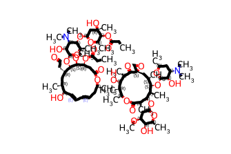 CCC(=O)O[C@@H]1CC(=O)O[C@H](C)C/C=C/C=C/[C@H](O)[C@H](C)C[C@H](CC=O)[C@H](O[C@@H]2O[C@H](C)[C@@H](O[C@H]3C[C@@](C)(O)[C@@H](OC(=O)CC)[C@H](C)O3)[C@H](N(C)C)[C@H]2O)[C@H]1OC.CO[C@H]1C[C@H](O[C@H]2[C@H](C)[C@@H](O[C@@H]3O[C@H](C)C[C@H](N(C)C)[C@H]3O)[C@@H](C)C[C@]3(CO3)C(=O)[C@H](C)[C@@H](O)[C@@H](C)[C@@H](C)OC(=O)[C@@H]2C)O[C@@H](C)[C@@H]1O